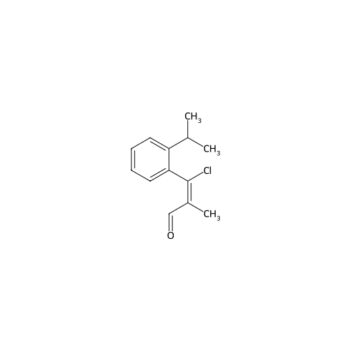 CC(C=O)=C(Cl)c1ccccc1C(C)C